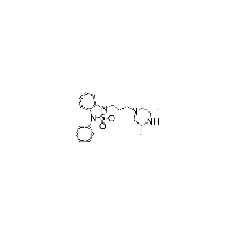 C[C@@H]1CN(CCCN2c3ccccc3N(c3ccccc3)S2(=O)=O)C[C@H](C)N1